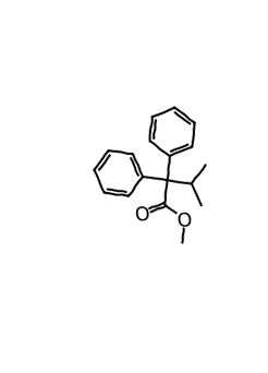 COC(=O)C(c1ccccc1)(c1ccccc1)C(C)C